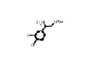 COCC(N)c1ccc(Cl)c(F)c1